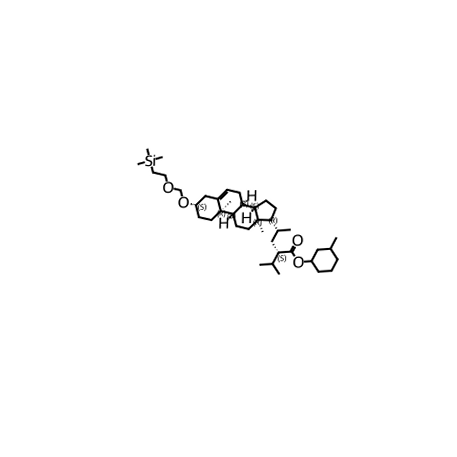 CC1CCCC(OC(=O)[C@@H](CC(C)[C@H]2CC[C@H]3[C@@H]4CC=C5C[C@@H](OCOCC[Si](C)(C)C)CC[C@]5(C)[C@H]4CC[C@]23C)C(C)C)C1